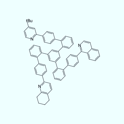 CC(C)(C)c1ccnc(-c2ccc(-c3ccccc3-c3cc(-c4ccccc4-c4ccc(-c5ccc6c(n5)CCCC6)cc4)cc(-c4ccccc4-c4ccc(-c5nccc6ccccc56)cc4)c3)cc2)c1